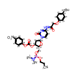 CC(C)N(C(C)C)P(OCCC#N)OC[C@H]1O[C@@H](n2ccc(NC(=O)COc3ccc(C(C)(C)C)cc3)nc2=O)C[C@@H]1OC(=O)Oc1ccc([N+](=O)[O-])cc1